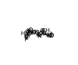 COc1cc2c(Oc3ccc(NC(=O)C4(C(=O)Nc5ccc(F)cc5)CC4)cc3)ccnc2cc1OCCCN1CCOCC1